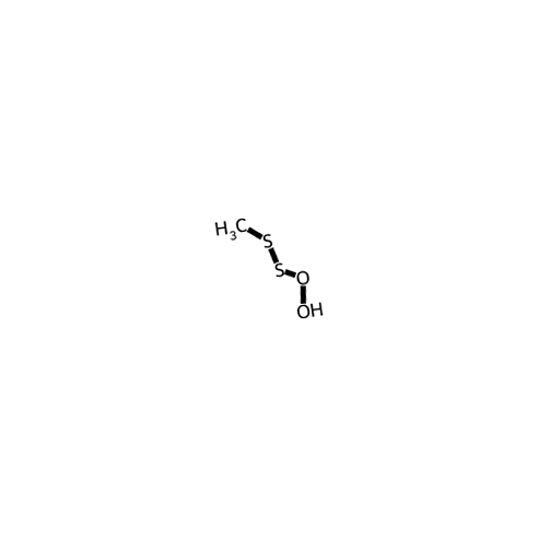 CSSOO